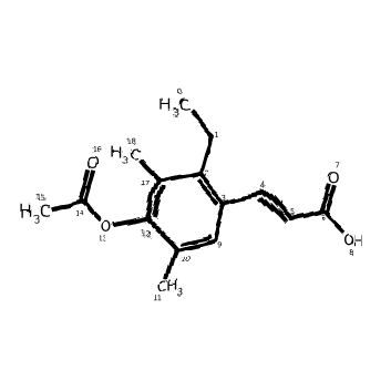 CCc1c(C=CC(=O)O)cc(C)c(OC(C)=O)c1C